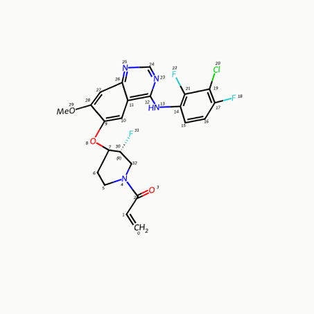 C=CC(=O)N1CCC(Oc2cc3c(Nc4ccc(F)c(Cl)c4F)ncnc3cc2OC)[C@H](F)C1